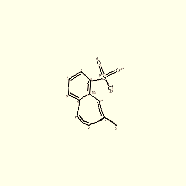 Cc1ccc2cccc(S(=O)(=O)Cl)c2c1